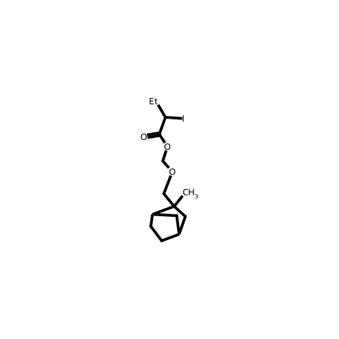 CCC(I)C(=O)OCOCC1(C)CC2CCC1C2